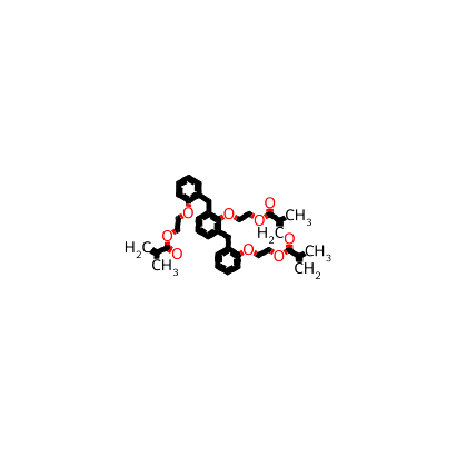 C=C(C)C(=O)OCCOc1ccccc1Cc1cccc(Cc2ccccc2OCCOC(=O)C(=C)C)c1OCCOC(=O)C(=C)C